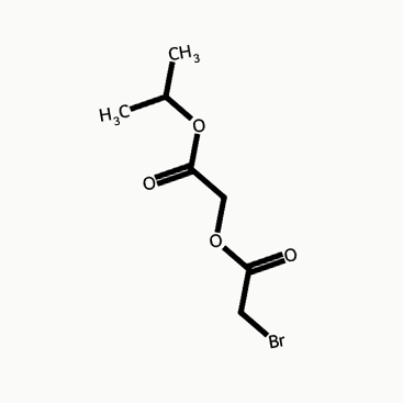 CC(C)OC(=O)COC(=O)CBr